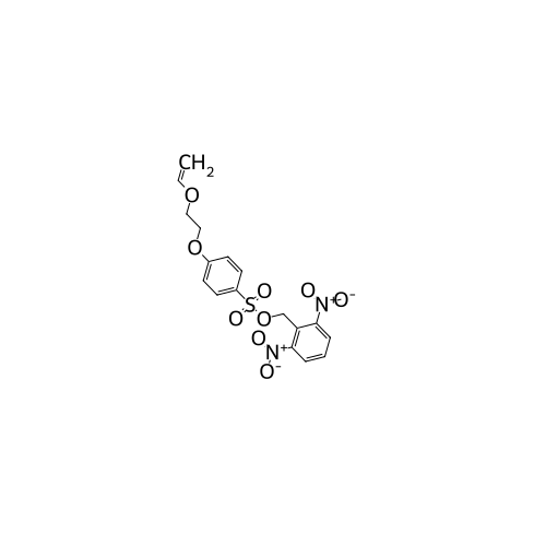 C=COCCOc1ccc(S(=O)(=O)OCc2c([N+](=O)[O-])cccc2[N+](=O)[O-])cc1